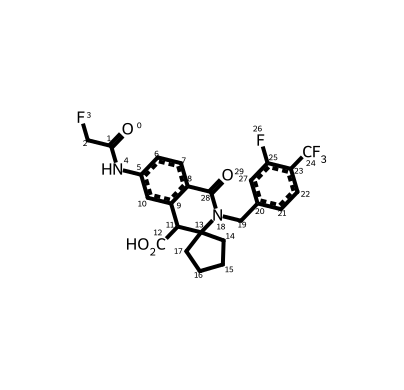 O=C(CF)Nc1ccc2c(c1)C(C(=O)O)C1(CCCC1)N(Cc1ccc(C(F)(F)F)c(F)c1)C2=O